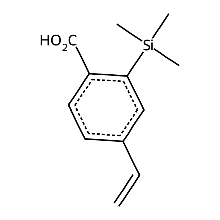 C=Cc1ccc(C(=O)O)c([Si](C)(C)C)c1